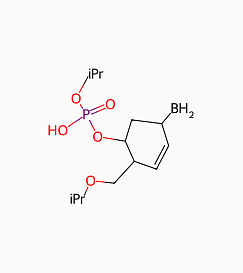 BC1C=CC(COC(C)C)C(OP(=O)(O)OC(C)C)C1